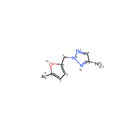 CC(=O)c1ccc(Cn2ncc([N+](=O)[O-])n2)o1